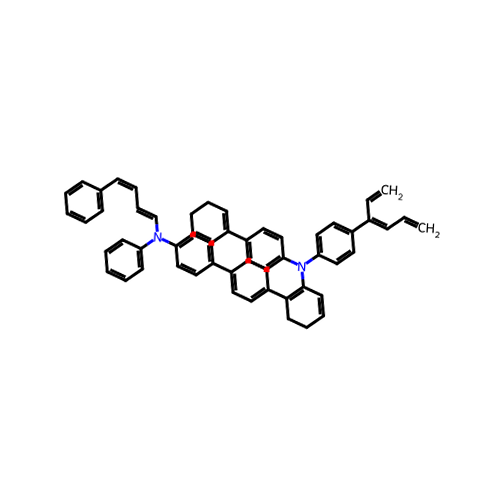 C=C/C=C(\C=C)c1ccc(N(C2=C(C3=CC=C(c4ccc(N(/C=C/C=C\c5ccccc5)c5ccccc5)cc4)CC3)CCC=C2)c2ccc(C3=CCCC=C3)cc2)cc1